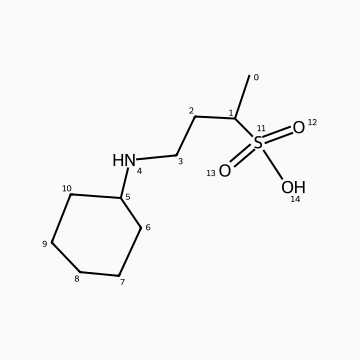 CC(CCNC1CCCCC1)S(=O)(=O)O